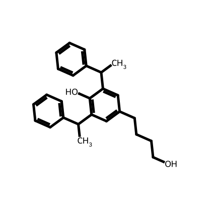 CC(c1ccccc1)c1cc(CCCCO)cc(C(C)c2ccccc2)c1O